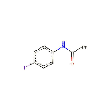 CC(C)C(=O)Nc1ccc(I)cc1